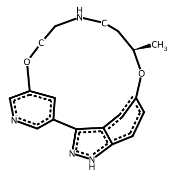 C[C@@H]1CCNCCOc2cncc(c2)-c2n[nH]c3ccc(cc23)O1